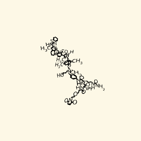 Cc1c(Nc2nc3ccccc3s2)nnc2c1CCCN2c1ccc(-c2cnn(CC34CC5(OCC[N+](C)(CCCO)Cc6ccc(NC(=O)[C@H](CCCNC(N)=O)NC(=O)[C@@H](NC(=O)CCOCCN7C(=O)C=CC7=O)C(C)C)cc6)C[C@](C)(C3)C[C@](C)(C4)C5)c2C)c(C(=O)O)n1